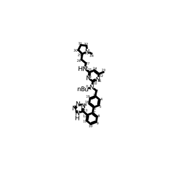 CCCCN(Cc1ccc(-c2ccccc2-c2nnn[nH]2)cc1)c1nc(C)cc(NCCC2CCCN2C)n1